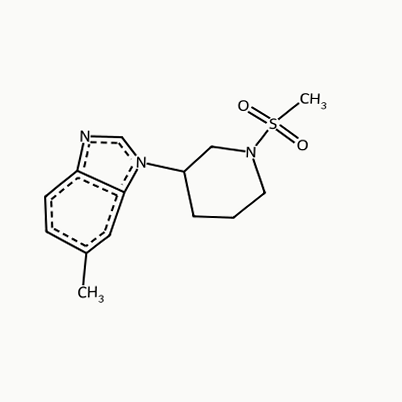 Cc1ccc2ncn(C3CCCN(S(C)(=O)=O)C3)c2c1